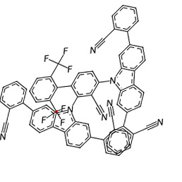 N#Cc1ccccc1-c1ccc2c3ccc(-c4ccccc4C#N)cc3n(-c3ccc(-c4c(C(F)(F)F)cccc4C(F)(F)F)c(-n4c5cc(-c6ccccc6C#N)ccc5c5ccc(-c6ccccc6C#N)cc54)c3C#N)c2c1